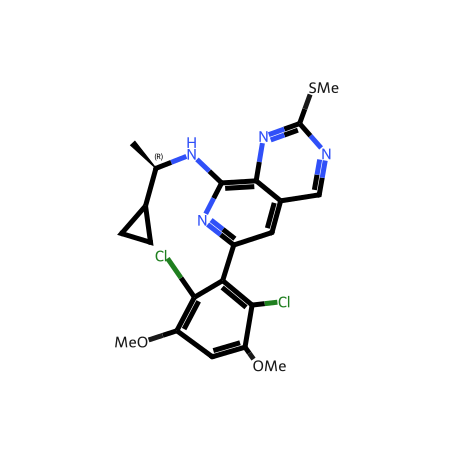 COc1cc(OC)c(Cl)c(-c2cc3cnc(SC)nc3c(N[C@H](C)C3CC3)n2)c1Cl